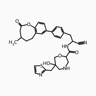 CC1CCc2cc(-c3ccc(CC(C#N)NC(=O)C4CNCC(O)(Cc5nccs5)CO4)cc3)ccc2OC(=O)C1